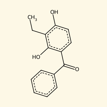 CCc1c(O)ccc(C(=O)c2ccccc2)c1O